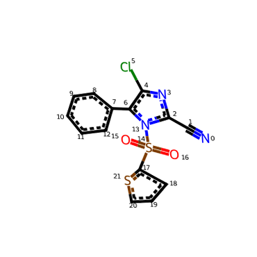 N#Cc1nc(Cl)c(-c2ccccc2)n1S(=O)(=O)c1cccs1